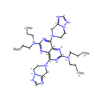 COCCN(CCOC)c1nc(N2CCn3ncnc3C2)c2nc(N(CCOC)CCOC)nc(N3CCn4ncnc4C3)c2n1